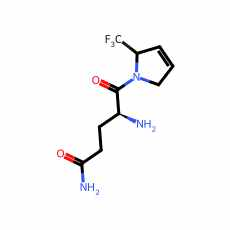 NC(=O)CC[C@H](N)C(=O)N1CC=CC1C(F)(F)F